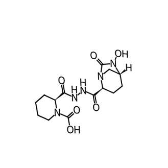 O=C(NNC(=O)[C@@H]1CC[C@@H]2CN1C(=O)N2O)[C@@H]1CCCCN1C(=O)O